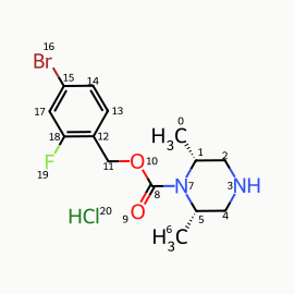 C[C@@H]1CNC[C@H](C)N1C(=O)OCc1ccc(Br)cc1F.Cl